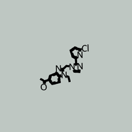 CCn1c(Cn2ccnc2-c2cccc(Cl)n2)nc2cc(C(C)=O)ccc21